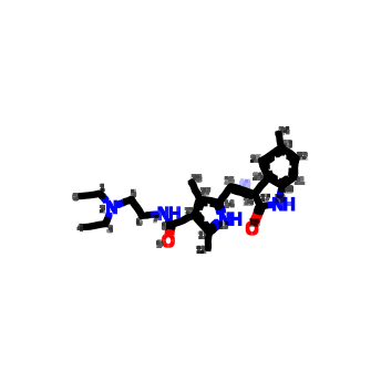 CCN(CC)CCNC(=O)c1c(C)[nH]c(/C=C2\C(=O)Nc3ccc(C)cc32)c1C